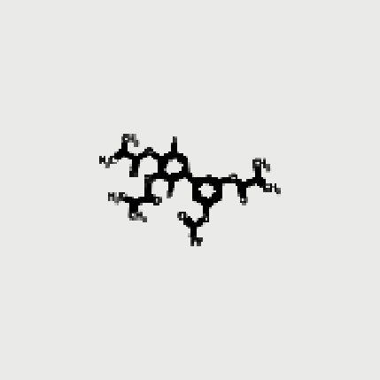 C=C(C)C(=O)Oc1cc(OC(=O)C(C)C)cc(-c2cc(F)c(OC(=O)C(=C)C)c(OC(=O)C(=C)C)c2F)c1